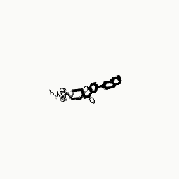 NS(=O)(=O)N1CCC2(CC1)CC(=O)c1cc(-c3ccc4ccccc4c3)ccc1O2